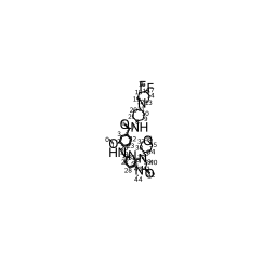 COc1cc(C(=O)NC2CCC(N3CCC(F)(F)CC3)CC2)ccc1Nc1ccc2c(n1)N(C1CCOCC1)[C@H](C)C(=O)N2C